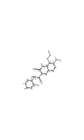 CCCc1c(OC)ccc2cc(C(=O)Nc3ccncc3C)c(=O)oc12